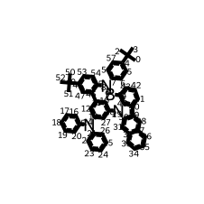 CC(C)(C)c1ccc(N2B3c4c(cc(N(c5ccccc5)c5ccccc5)cc4-n4c5cc6ccccc6cc5c5cccc3c54)-c3cc(C(C)(C)C)ccc32)cc1